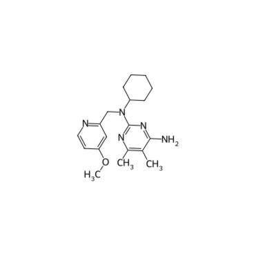 COc1ccnc(CN(c2nc(C)c(C)c(N)n2)C2CCCCC2)c1